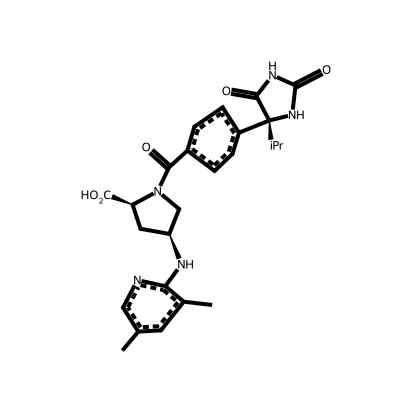 Cc1cnc(N[C@H]2C[C@@H](C(=O)O)N(C(=O)c3ccc([C@@]4(C(C)C)NC(=O)NC4=O)cc3)C2)c(C)c1